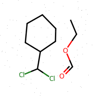 CCOC=O.ClC(Cl)C1CCCCC1